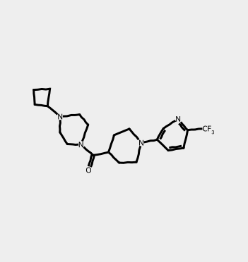 O=C(C1CCN(c2ccc(C(F)(F)F)nc2)CC1)N1CCN(C2CCC2)CC1